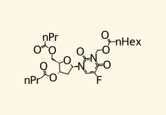 CCCCCCC(=O)OCn1c(=O)c(F)cn([C@H]2C[C@H](OC(=O)CCC)[C@@H](COC(=O)CCC)O2)c1=O